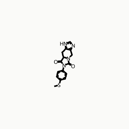 CSc1ccc(N2C(=O)C3Cc4[nH]cnc4CN3C2=O)cc1